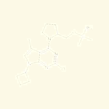 Cc1cn(C2CCC2)c2nc(Cl)nc(N3CCCC3CO[Si](C)(C)C(C)(C)C)c12